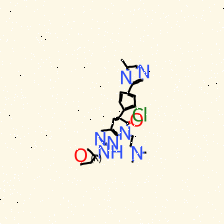 Cc1cncc(-c2ccc(-c3cc4cnc(N[C@@H]5CCOC5)nc4n(CCN(C)C)c3=O)c(Cl)c2)n1